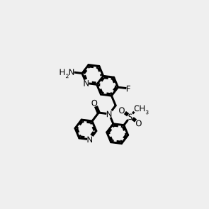 CS(=O)(=O)c1ccccc1N(Cc1cc2nc(N)ccc2cc1F)C(=O)c1cccnc1